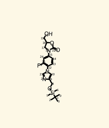 CC(C)(C)[Si](C)(C)OCc1cn(-c2ccc(N3CC(CO)OC3=O)cc2F)cn1